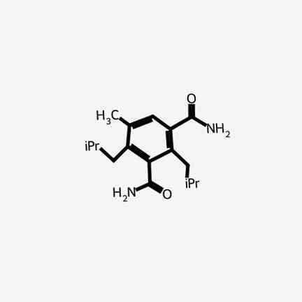 Cc1cc(C(N)=O)c(CC(C)C)c(C(N)=O)c1CC(C)C